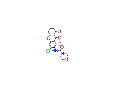 O=C1CCCC(=O)C1C(=O)c1ccc(Cl)c(NC(=O)N2CCOCC2)c1Cl